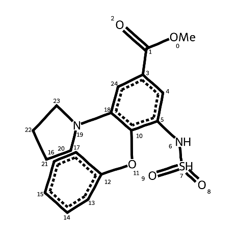 COC(=O)c1cc(N[SH](=O)=O)c(Oc2ccccc2)c(N2CCCC2)c1